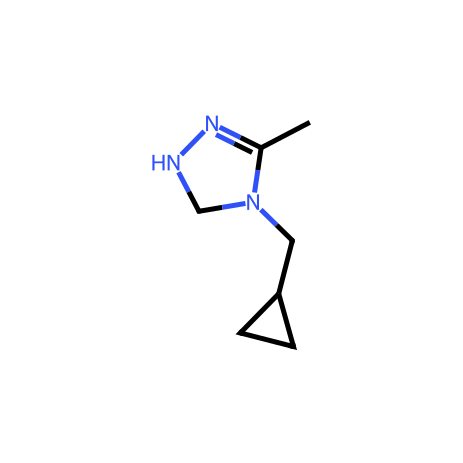 CC1=NNCN1CC1CC1